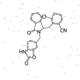 N#Cc1cccc(Cl)c1CC1c2ccccc2C(=O)N1Cc1ccc2[nH]c(=O)oc2c1